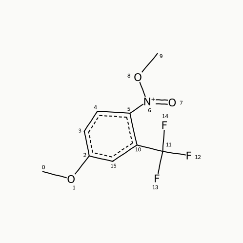 COc1ccc([N+](=O)OC)c(C(F)(F)F)c1